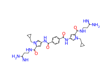 N=C(N)CCNC(=O)c1cc(NC(=O)c2ccc(C(=O)Nc3cc(C(=O)NCCC(=N)N)n(CC4CC4)c3)cc2)cn1CC1CC1